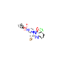 CC(Br)c1nc2cccc(Cl)c2c(=O)n1N1CCN(C(=O)OC(C)(C)C)CC1